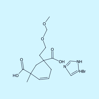 Br.COCOCCC1(C(=O)O)CC=CC(C)(C(=O)O)C1.c1c[nH]cn1